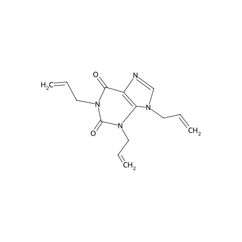 C=CCn1c(=O)c2ncn(CC=C)c2n(CC=C)c1=O